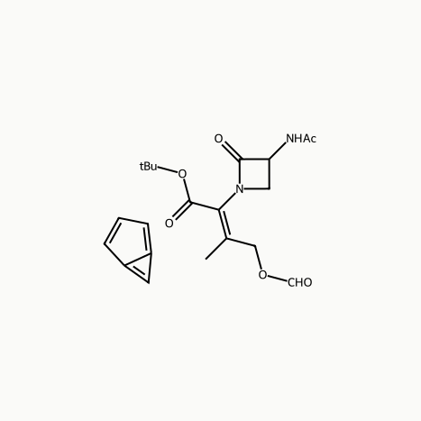 CC(=O)NC1CN(C(C(=O)OC(C)(C)C)=C(C)COC=O)C1=O.c1cc2cc-2c1